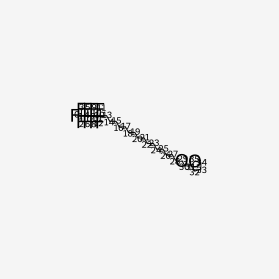 FC(F)(F)C(F)(F)C(F)(F)C(F)(F)CCCCCCCCCCCCCCCCOCC1CCCO1